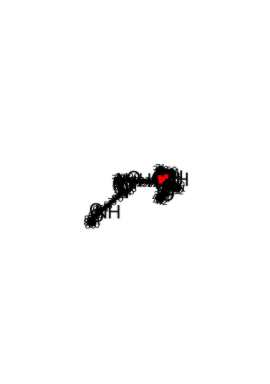 O=C(NCCCCCCCCCCN1CCCCN(C(=O)CCCCCCCCC[C@]2(O)O[C@H](COC(=O)c3ccccc3)[C@@H](OC(=O)c3ccccc3)[C@@](O)(C(=O)c3ccccc3)[C@]2(O)C(=O)c2ccccc2)CCN2CCCN(CC1)C2)OCc1ccccc1